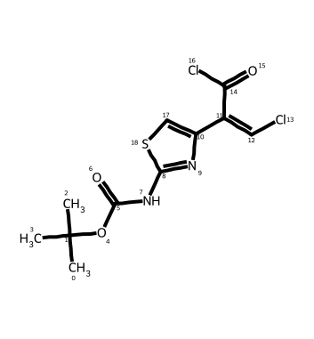 CC(C)(C)OC(=O)Nc1nc(C(=CCl)C(=O)Cl)cs1